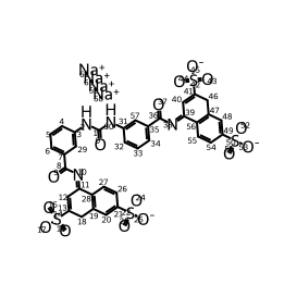 O=C(Nc1cccc(C(=O)N=C2C=C(S(=O)(=O)[O-])Cc3cc(S(=O)(=O)[O-])ccc32)c1)Nc1cccc(C(=O)N=C2C=C(S(=O)(=O)[O-])Cc3cc(S(=O)(=O)[O-])ccc32)c1.[Na+].[Na+].[Na+].[Na+]